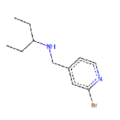 CCC(CC)NCc1ccnc(Br)c1